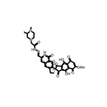 COC1=CC(=O)c2c(O)c3c(c(O)c2C1=O)C(=O)[C@]1(CCc2cc4cc(C=NNC(=O)CN5CCN(C)C(I)C5)[nH]c(=O)c4c(O)c21)C3=O